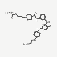 COCCOc1ccc(Nc2ncc(F)c(Nc3cccc(NC(=O)C4CCN(CCCCC(=O)NO)CC4)c3)n2)cc1